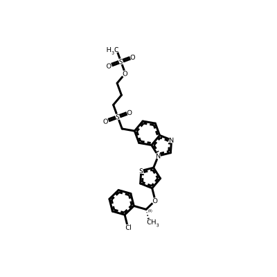 C[C@@H](Oc1csc(-n2cnc3ccc(CS(=O)(=O)CCCOS(C)(=O)=O)cc32)c1)c1ccccc1Cl